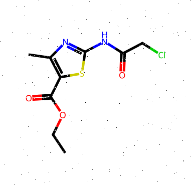 CCOC(=O)c1sc(NC(=O)CCl)nc1C